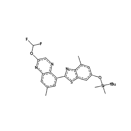 Cc1cc(-c2nc3c(C)cc(O[Si](C)(C)C(C)(C)C)cc3s2)c2ncc(OC(F)F)nc2c1